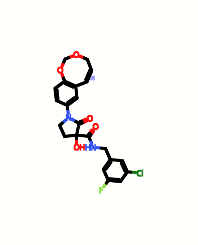 O=C(NCc1cc(F)cc(Cl)c1)C1(O)CCN(c2ccc3c(c2)/C=C\COCO3)C1=O